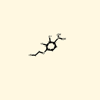 OB(O)c1ccc(OCCF)c(F)c1F